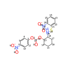 O=C(Oc1ccc([N+](=O)[O-])cc1)OC1CCCCC1NSc1ccccc1[N+](=O)[O-]